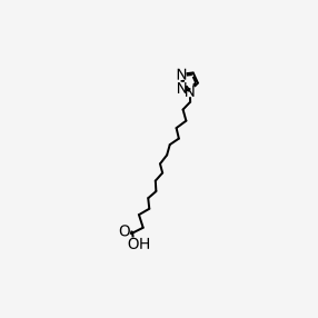 O=C(O)CCCCCCCCCCCCCCCn1ccnn1